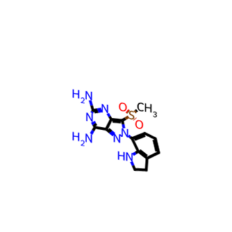 CS(=O)(=O)c1c2nc(N)nc(N)c2nn1-c1cccc2c1NCC2